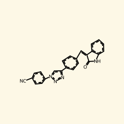 N#Cc1ccc(-n2cc(-c3ccc(/C=C4\C(=O)Nc5ccccc54)cc3)nn2)cc1